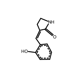 O=C1NCCC1=Cc1ccccc1O